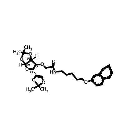 CC1(C)OC=C([C@@H]2O[C@@H]3OC(C)(C)O[C@@H]3[C@H]2OCC(=O)NCCCCCOc2ccc3ccccc3c2)O1